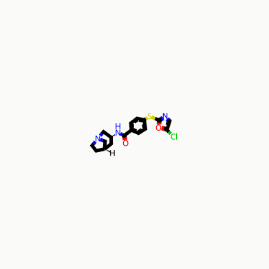 O=C(N[C@@H]1C[C@H]2CCN(C2)C1)c1ccc(Sc2ncc(Cl)o2)cc1